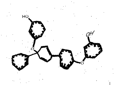 Oc1cccc(Oc2ccc(C3=CCC(Oc4cccc(O)c4)(c4ccccc4)C=C3)cc2)c1